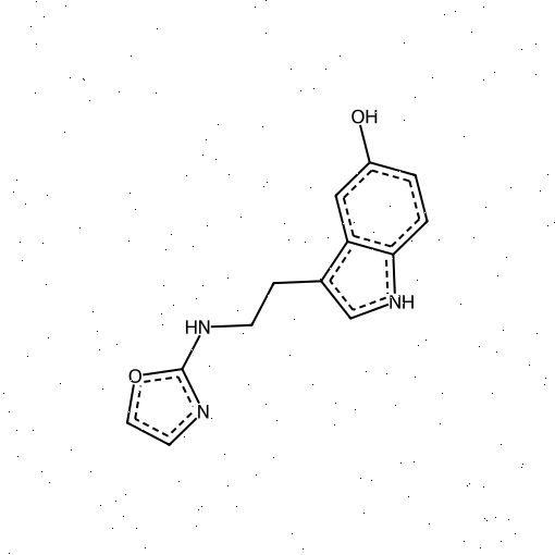 Oc1ccc2[nH]cc(CCNc3ncco3)c2c1